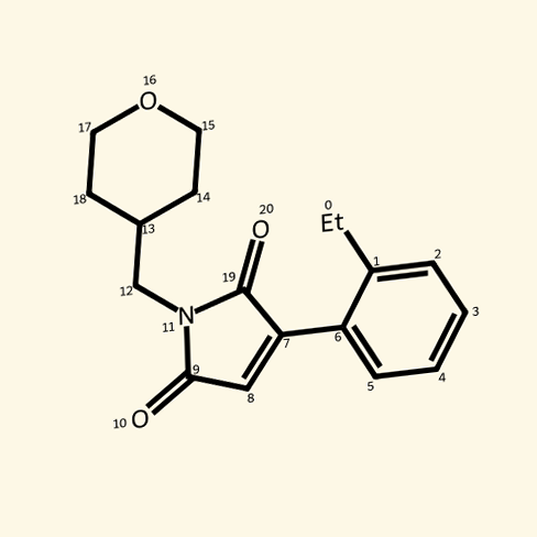 CCc1ccccc1C1=CC(=O)N(CC2CCOCC2)C1=O